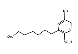 CCCCCCCCCCCCCCCCc1cc([N+](=O)[O-])ccc1S(=O)(=O)O